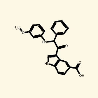 COc1cccc(NC(C(=O)c2c[nH]c3ccc(C(=O)O)cc23)c2ccccc2)c1